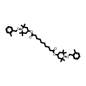 Cc1ccccc1CON1C(C)(C)CC(OC(=O)CCCCCCCCC(=O)OC2CC(C)(C)N(OCc3ccccc3C)C(C)(C)C2)CC1(C)C